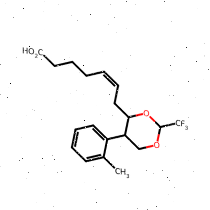 Cc1ccccc1C1COC(C(F)(F)F)OC1C/C=C\CCCC(=O)O